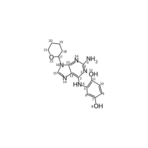 Nc1nc(Nc2cc(O)ccc2O)c2ncn(C3CCCCO3)c2n1